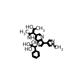 CC(=N)/C(=C(/C)O)c1cnc2c(-c3cnn(C)c3)cn(C(c3ccccc3)C(O)(O)O)c2c1